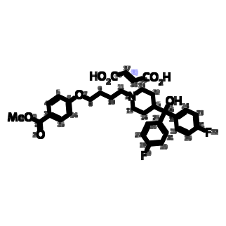 COC(=O)c1ccc(OCCCCN2CCC(C(O)(c3ccc(F)cc3)c3ccc(F)cc3)CC2)cc1.O=C(O)/C=C/C(=O)O